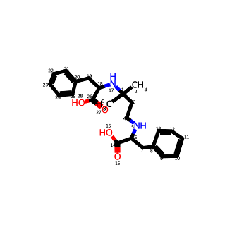 CC(C)(CCNC(Cc1ccccc1)C(=O)O)NC(Cc1ccccc1)C(=O)O